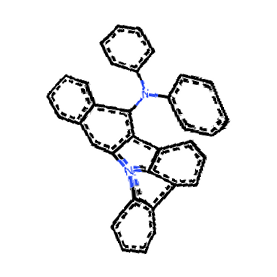 c1ccc(N(c2ccccc2)c2c3ccccc3cc3c2c2cccc4c5ccccc5n3c42)cc1